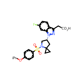 CC(C)Oc1ccc(S(=O)(=O)N2C[C@H](n3nc(CC(=O)O)c4ccc(F)cc43)CC23CC3)cc1